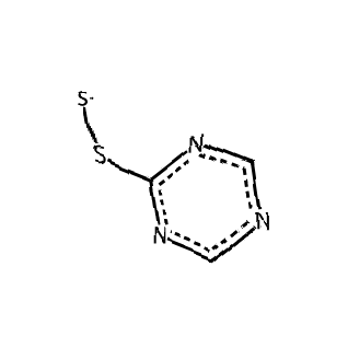 [S]Sc1ncncn1